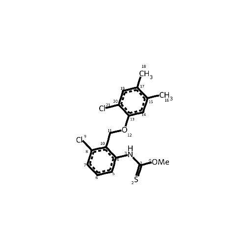 COC(=S)Nc1cccc(Cl)c1COc1cc(C)c(C)cc1Cl